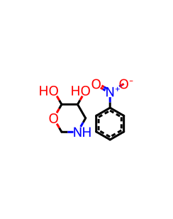 O=[N+]([O-])c1ccccc1.OC1CNCOC1O